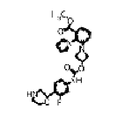 COC(=O)c1cccc(N2CC(OC(=O)Nc3ccc(C4CNCCO4)c(F)c3)C2)c1-n1cccc1